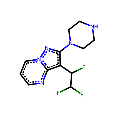 FC(F)C(F)c1c(N2CCNCC2)nn2cccnc12